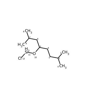 CC(C)CCC(CC(C)C)O[SiH2]Cl